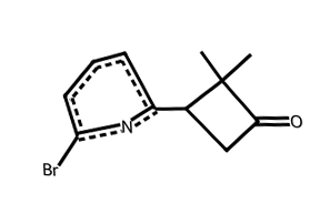 CC1(C)C(=O)CC1c1cccc(Br)n1